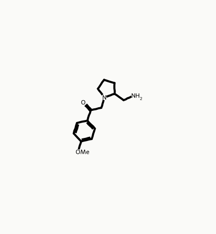 COc1ccc(C(=O)CN2CCCC2CN)cc1